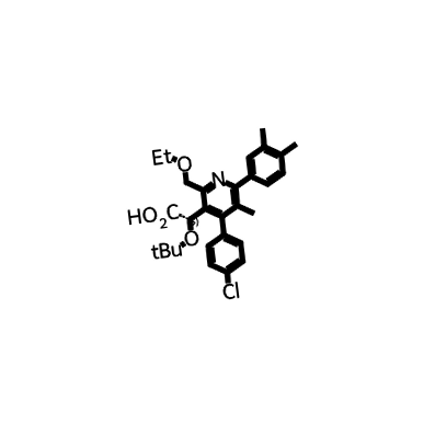 CCOCc1nc(-c2ccc(C)c(C)c2)c(C)c(-c2ccc(Cl)cc2)c1[C@H](OC(C)(C)C)C(=O)O